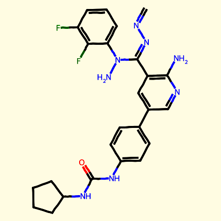 C=N/N=C(/c1cc(-c2ccc(NC(=O)NC3CCCC3)cc2)cnc1N)N(N)c1cccc(F)c1F